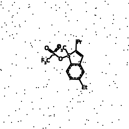 CCc1ccc2c(c1)C=C(C(C)C)S2(OS(=O)(=O)C(F)(F)F)C(F)(F)F